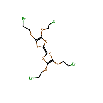 BrCCSC1=C(SCCBr)SC(=C2SC(SCCBr)=C(SCCBr)S2)S1